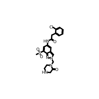 CS(=O)(=O)c1cc(NC(=O)Cc2ccccc2Cl)cc2cn(CN3CCNCC3=O)nc12